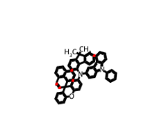 CC1(C)c2ccccc2-c2c(N(c3ccc4c(c3)C3(c5ccccc5O4)c4ccccc4-c4cccc5cccc3c45)c3ccc4c(c3)c3ccccc3n4-c3ccccc3)cccc21